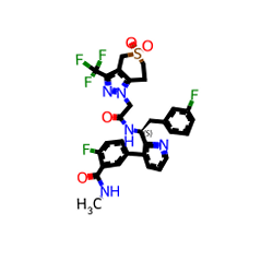 CNC(=O)c1cc(-c2cccnc2[C@H](Cc2cccc(F)c2)NC(=O)Cn2nc(C(F)(F)F)c3c2CCS(=O)(=O)C3)ccc1F